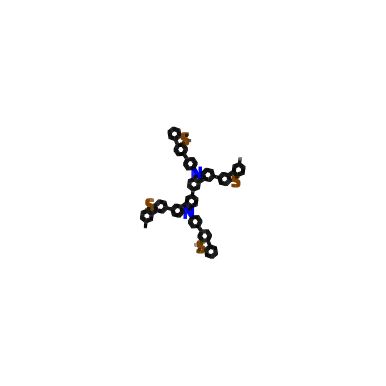 Cc1ccc2sc3ccc(-c4ccc5c(c4)c4cc(-c6ccc7c(c6)c6cc(-c8ccc9sc%10ccc(C)cc%10c9c8)ccc6n7-c6ccc(-c7ccc8c(c7)S(C)(C)c7ccccc7-8)cc6)ccc4n5-c4ccc(-c5ccc6c(c5)S(C)(C)c5ccccc5-6)cc4)cc3c2c1